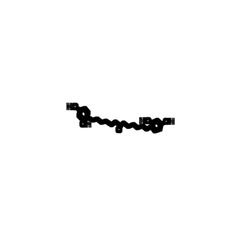 O=C(CCCCCCc1ccc(O)cc1O)CCCCCCc1ccc(O)cc1O